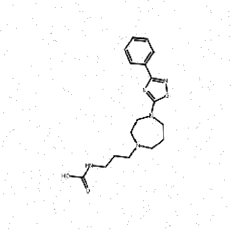 O=C(O)NCCCN1CCCN(c2nc(-c3ccccc3)ns2)CC1